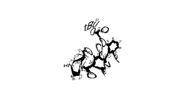 CC(C)(C)OC(=O)Oc1cccc(F)c1-c1nc(F)c2c(c1Cl)OC[C@@]1(C)CNCCN1C2=O